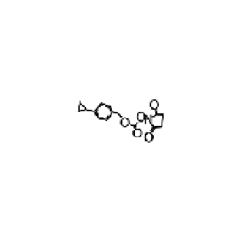 O=C(OCc1ccc(C2CC2)cc1)ON1C(=O)CCC1=O